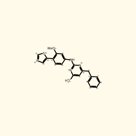 COc1cc(Nc2nc(C)cc(Cc3ccccc3)n2)ccc1-c1cncs1